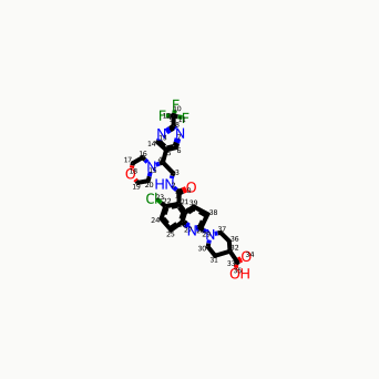 O=C(NCC(c1cnc(C(F)(F)F)nc1)N1CCOCC1)c1c(Cl)ccc2nc(N3CCC(C(=O)O)CC3)ccc12